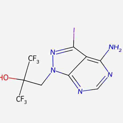 Nc1ncnc2c1c(I)nn2CC(O)(C(F)(F)F)C(F)(F)F